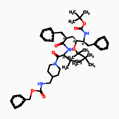 CC(C)[C@H](NC(=O)[C@@H](Cc1ccccc1)C[C@@H](O[Si](C)(C)C(C)(C)C)[C@H](Cc1ccccc1)NC(=O)OC(C)(C)C)C(=O)N1CCC(CNC(=O)OCc2ccccc2)CC1